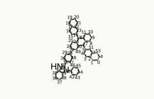 C1=Cc2ccc(-c3c4ccccc4c(-c4ccc5ccccc5c4)c4ccc(-c5ccc(C6Nc7ccccc7N6c6ccccc6)cc5)cc34)cc2CC1